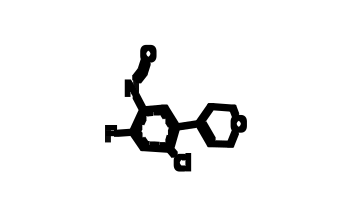 O=C=Nc1cc(C2=CCOCC2)c(Cl)cc1F